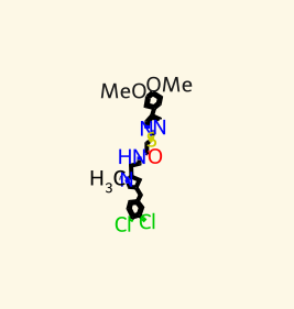 COc1ccc(-c2cnc(SCC(=O)NCCC3CC(Cc4ccc(Cl)c(Cl)c4)CN3C)nc2)cc1OC